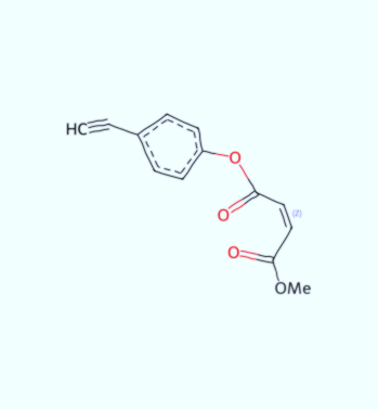 C#Cc1ccc(OC(=O)/C=C\C(=O)OC)cc1